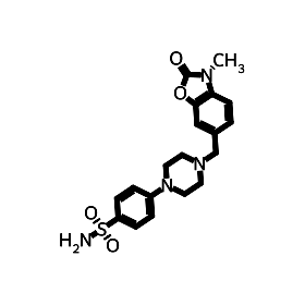 Cn1c(=O)oc2cc(CN3CCN(c4ccc(S(N)(=O)=O)cc4)CC3)ccc21